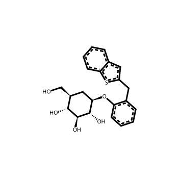 OC[C@H]1C[C@@H](Oc2ccccc2Cc2cc3ccccc3s2)[C@H](O)[C@@H](O)[C@@H]1O